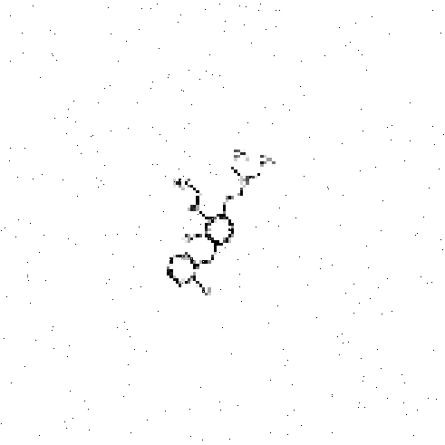 CCNc1c(CCN(CC)CC)ccc(Cc2ccccc2Cl)c1Cl